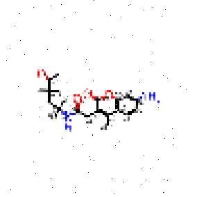 CC(=O)C(C)(C)CC(C)(C)NC(=O)Cc1c(C)c2ccc(N)cc2oc1=O